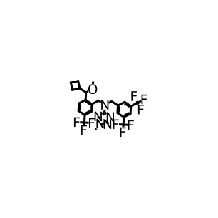 COC(c1ccc(C(F)(F)F)cc1CN(Cc1cc(C(F)(F)F)cc(C(F)(F)F)c1)c1nnn(C)n1)C1CCC1